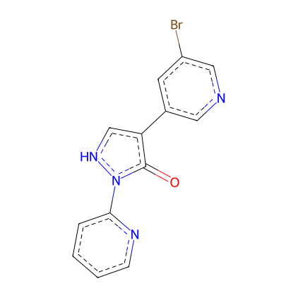 O=c1c(-c2cncc(Br)c2)c[nH]n1-c1ccccn1